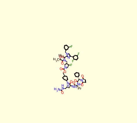 CC(C)[C@H](NC(=O)[C@H](c1ccccc1)N1C(=O)C=CC1=O)C(=O)N[C@@H](CCCNC(N)=O)C(=O)Nc1ccc(COC(=O)N2C[C@@H](CN(C(=O)[C@H](C)O)[C@@H](c3nc(-c4cc(F)ccc4F)cn3Cc3cccc(F)c3)C(C)(C)C)[C@@H](F)C2)cc1